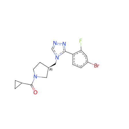 O=C(C1CC1)N1CC[C@@H](Cn2cnnc2-c2ccc(Br)cc2F)C1